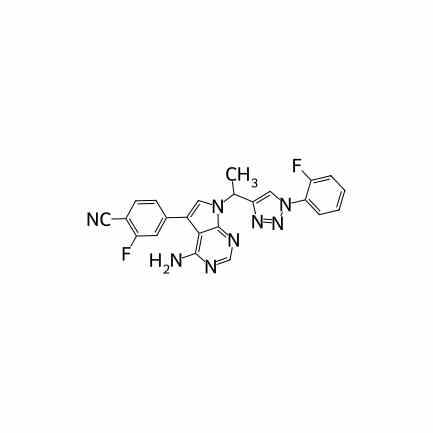 CC(c1cn(-c2ccccc2F)nn1)n1cc(-c2ccc(C#N)c(F)c2)c2c(N)ncnc21